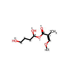 CCOC=C(C)C(=O)OC(O)CCCO